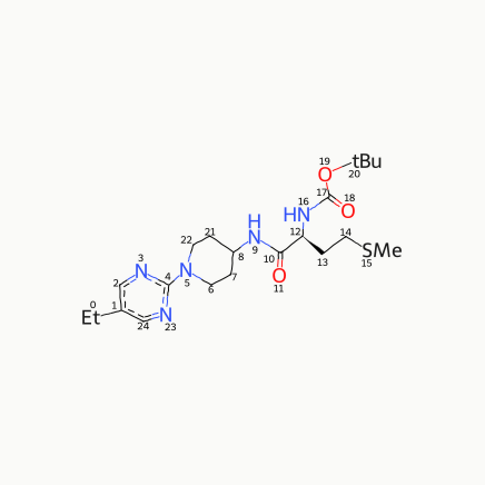 CCc1cnc(N2CCC(NC(=O)[C@H](CCSC)NC(=O)OC(C)(C)C)CC2)nc1